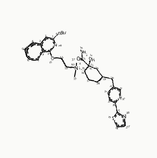 CCCCc1cc2ccccc2c(OCC[N+](C)(C)[C@H]2CCC(Cc3ccc(-c4nccs4)nc3)C[C@@]2(O)C(N)=O)n1